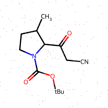 CC1CCN(C(=O)OC(C)(C)C)C1C(=O)CC#N